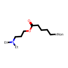 CCCCCCCCCCCCCC(=O)OCCCN(CC)CC